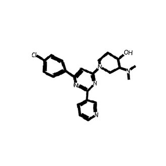 CN(C)C1CN(c2cc(-c3ccc(Cl)cc3)nc(-c3cccnc3)n2)CCC1O